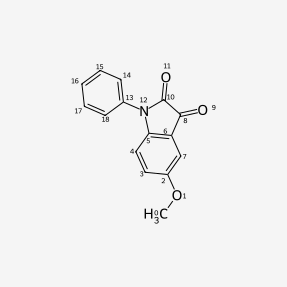 COc1ccc2c(c1)C(=O)C(=O)N2c1ccccc1